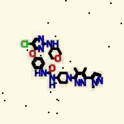 Cc1c(-c2ccnn2C)nnc(N2CCC(NC(=O)Nc3ccc(Oc4nc(NC5CCOCC5)ncc4Cl)cc3)CC2)c1C